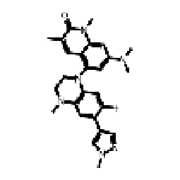 Cc1cc2c(N3CCN(C)c4cc(-c5cnn(C)c5)c(F)cc43)cc(N(C)C)cc2n(C)c1=O